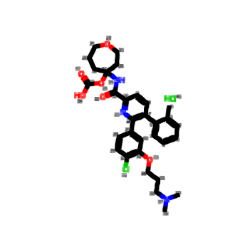 Cc1ccccc1-c1ccc(C(=O)NC2(OC(=O)O)CCCOCC2)nc1-c1ccc(Cl)c(OCCCN(C)C)c1.Cl